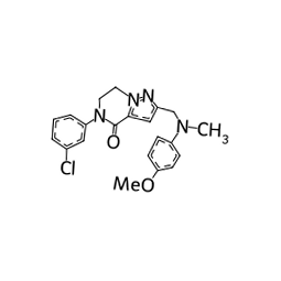 COc1ccc(N(C)Cc2cc3n(n2)CCN(c2cccc(Cl)c2)C3=O)cc1